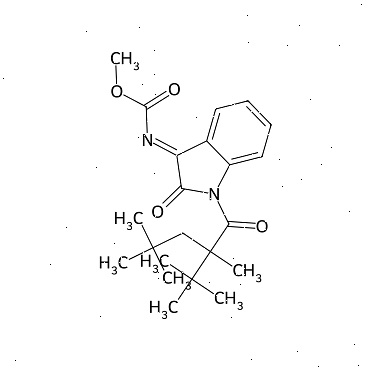 COC(=O)/N=C1/C(=O)N(C(=O)C(C)(CC(C)(C)C)C(C)(C)C)c2ccccc21